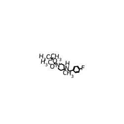 CC1(NCc2ccc(F)cc2)CCN(C(=O)OC(C)(C)C)CC1